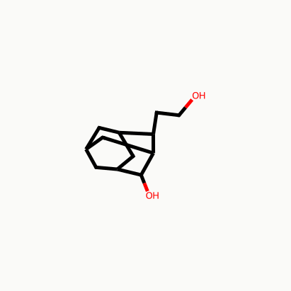 OCCC1C2CC3CC(C2)C(O)C1C3